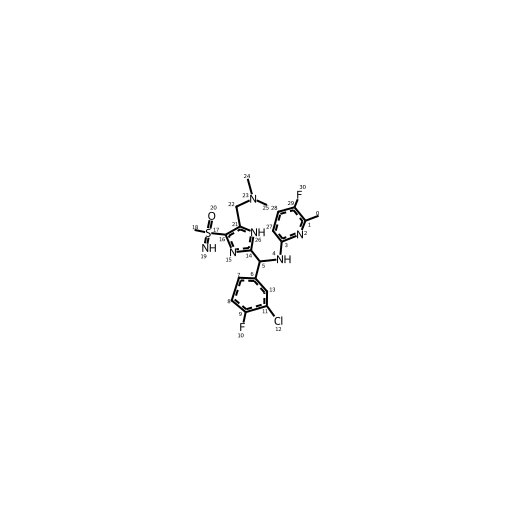 Cc1nc(NC(c2ccc(F)c(Cl)c2)c2nc(S(C)(=N)=O)c(CN(C)C)[nH]2)ccc1F